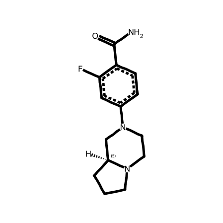 NC(=O)c1ccc(N2CCN3CCC[C@H]3C2)cc1F